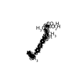 CC[C@@H]([C@H](C)OC(=O)OC(C)OC(=O)C(C(=O)O)C(=O)O)n1ncn(-c2ccc(N3CCN(c4ccc(OC[C@@H]5CO[C@](C)(Cn6cncn6)C5)cc4)CC3)cc2)c1=O